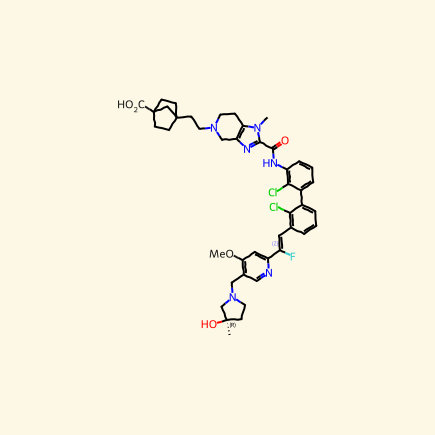 COc1cc(/C(F)=C/c2cccc(-c3cccc(NC(=O)c4nc5c(n4C)CCN(CCC46CCC(C(=O)O)(CC4)C6)C5)c3Cl)c2Cl)ncc1CN1CC[C@@](C)(O)C1